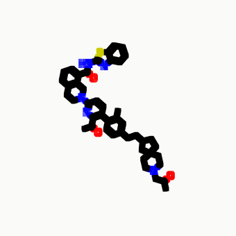 CC(=O)CN1CCC2(CCC(CCc3ccc(-c4ccc(N5CCc6cccc(C(=O)Nc7nc8ccccc8s7)c6C5)nc4C(C)=O)c(C)c3)C2)CC1